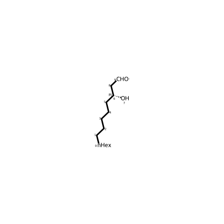 CCCCCCCCCCC[C@@H](O)C[C]=O